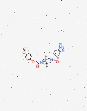 O=C(COc1ccc(OC(F)(F)F)cc1)N1C[C@@H]2CN(C(=O)[C@@H]3CCc4[nH]nnc4C3)C[C@H]2C1